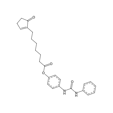 O=C(Nc1ccccc1)Nc1ccc(OC(=O)CCCCCCC2=CCCC2=O)cc1